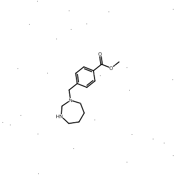 COC(=O)c1ccc(CN2CCCCNC2)cc1